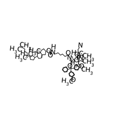 COc1ccc(C(OCC2CN(C(=O)CCCCCNC(=O)OC3CC[C@]4(C)C(=CCC5C6CCC(C(C)CCCC(C)C)[C@]6(C)CCC54)C3)CC2OP(OCCC#N)N(C(C)C)C(C)C)(c2ccccc2)c2ccc(OC)cc2)cc1